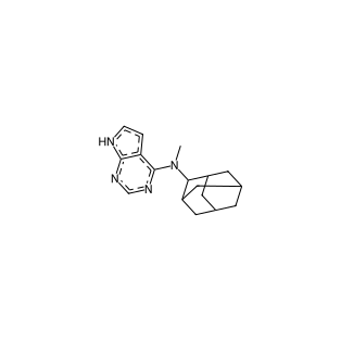 CN(c1ncnc2[nH]ccc12)C1C2CC3CC(C2)CC1C3